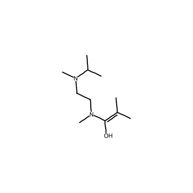 CC(C)=C(O)N(C)CCN(C)C(C)C